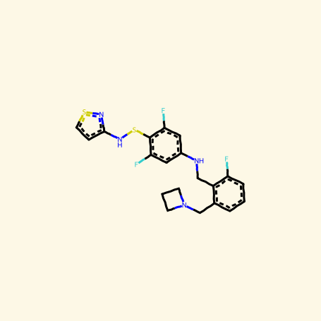 Fc1cccc(CN2CCC2)c1CNc1cc(F)c(SNc2ccsn2)c(F)c1